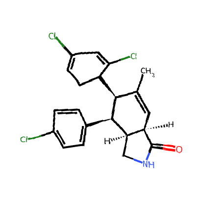 CC1=C[C@H]2C(=O)NC[C@H]2[C@@H](c2ccc(Cl)cc2)[C@H]1C1CC=C(Cl)C=C1Cl